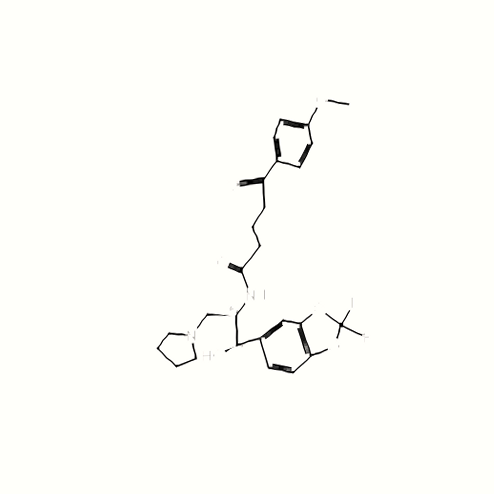 COc1ccc(C(=O)CCCC(=O)N[C@H](CN2CCCC2)[C@H](O)c2ccc3c(c2)OC(F)(F)O3)cc1